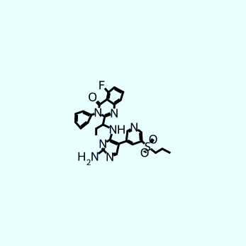 CCCS(=O)(=O)c1cncc(-c2cnc(N)nc2NC(CC)c2nc3cccc(F)c3c(=O)n2-c2ccccc2)c1